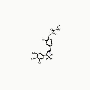 CCNC(=O)NCc1ccc(/C=C/C(c2cc(Cl)c(Cl)c(Cl)c2)C(F)(F)F)cc1Cl